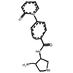 NC1CNCC1NC(=O)c1ccc(-n2ccccc2=O)cc1